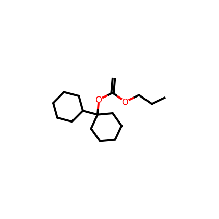 C=C(OCCC)OC1(C2CCCCC2)CCCCC1